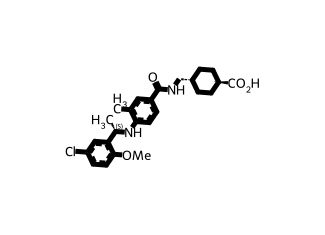 COc1ccc(Cl)cc1[C@H](C)Nc1ccc(C(=O)NC[C@H]2CC[C@H](C(=O)O)CC2)cc1C